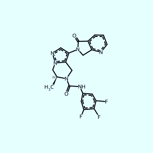 C[C@H]1Cn2ncc(N3Cc4ncccc4C3=O)c2CN1C(=O)Nc1cc(F)c(F)c(F)c1